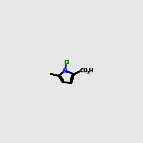 Cc1ccc(C(=O)O)n1Cl